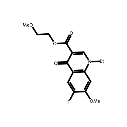 CCn1cc(C(=O)OCCOC)c(=O)c2cc(F)c(OC)cc21